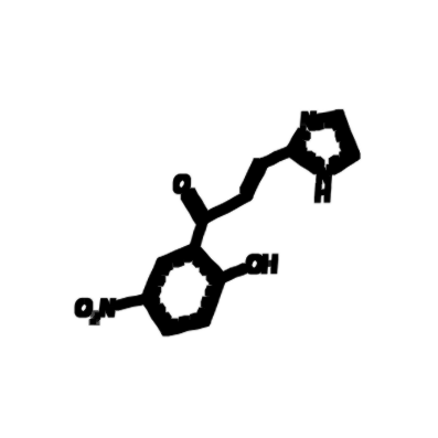 O=C(C=Cc1ncc[nH]1)c1cc([N+](=O)[O-])ccc1O